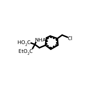 CCOC(=O)C(Cc1ccc(CCl)cc1)(NC(C)=O)C(=O)O